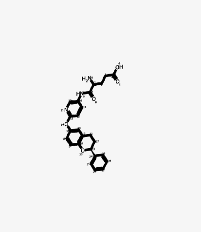 NC(CCC(=O)O)C(=O)Nc1ccc(Oc2ccc3c(c2)CC[C@@H](c2ccccc2)O3)nc1